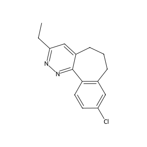 CCc1cc2c(nn1)-c1ccc(Cl)cc1CCC2